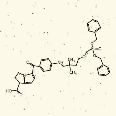 CC(C)(CCOCP(=O)(OCc1ccccc1)OCc1ccccc1)CNc1ccc(C(=O)c2ccc3n2CCC3C(=O)O)cc1